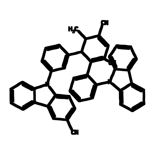 CC1C(C#N)=CC(C#N)=C(c2ccccc2-n2c3ccccc3c3ccccc32)C1c1cccc(-n2c3ccccc3c3cc(C#N)ccc32)c1